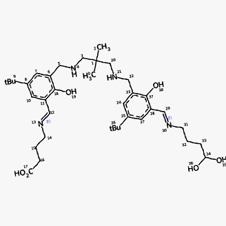 CC(C)(CNCc1cc(C(C)(C)C)cc(/C=N/CCCC(=O)O)c1O)CNCc1cc(C(C)(C)C)cc(/C=N/CCCC(O)O)c1O